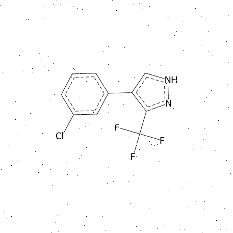 FC(F)(F)c1n[nH]cc1-c1cccc(Cl)c1